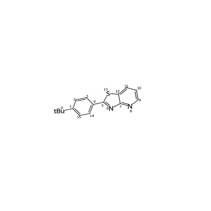 CC(C)(C)c1ccc(-c2nc3ncccc3s2)cc1